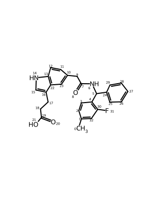 Cc1ccc(C(NC(=O)Cc2ccc3[nH]cc(CCC(=O)O)c3c2)c2ccccc2)c(F)c1